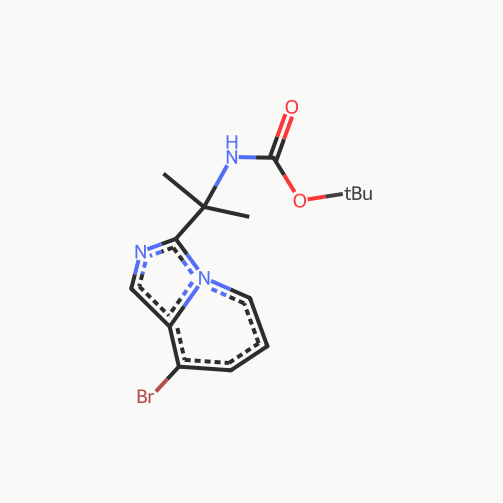 CC(C)(C)OC(=O)NC(C)(C)c1ncc2c(Br)cccn12